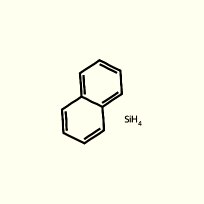 [SiH4].c1ccc2ccccc2c1